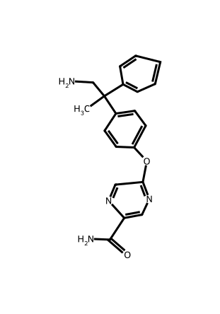 CC(CN)(c1ccccc1)c1ccc(Oc2cnc(C(N)=O)cn2)cc1